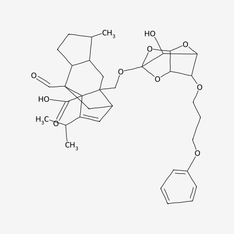 CC(C)C1=CC2CC3(C=O)C4CCC(C)C4CC2(COC24OC5OC(C(OCCCOc6ccccc6)C5O2)C4O)C13C(=O)O